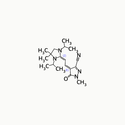 CC(C)N1CC(C)(C)N(C(C)C)/C1=C\C=C1\C(=O)N(C)N=C1C#N